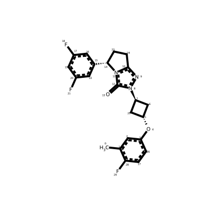 Cc1cc(O[C@H]2C[C@H](n3nc4n(c3=O)[C@H](c3cc(F)cc(F)c3)CC4)C2)ccc1F